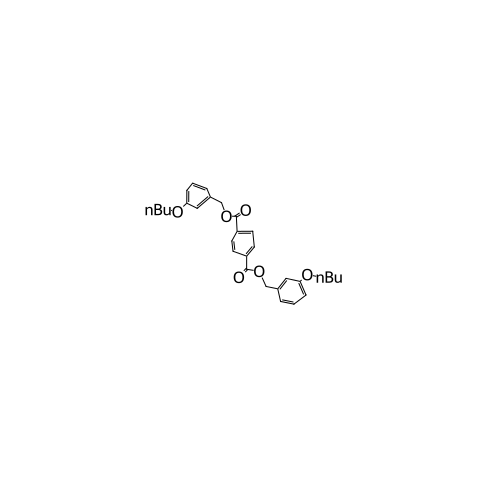 CCCCOc1cccc(COC(=O)c2ccc(C(=O)OCc3cccc(OCCCC)c3)cc2)c1